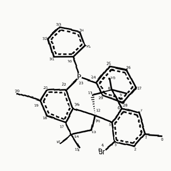 Cc1cc(Br)c2c(c1)C(C)(C)C[C@@]21CC(C)(C)c2cc(C)cc(P(c3ccccc3)c3ccccc3)c21